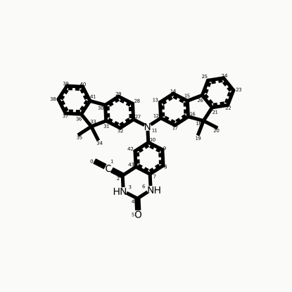 C=C=C1NC(=O)Nc2ccc(N(c3ccc4c(c3)C(C)(C)c3ccccc3-4)c3ccc4c(c3)C(C)(C)c3ccccc3-4)cc21